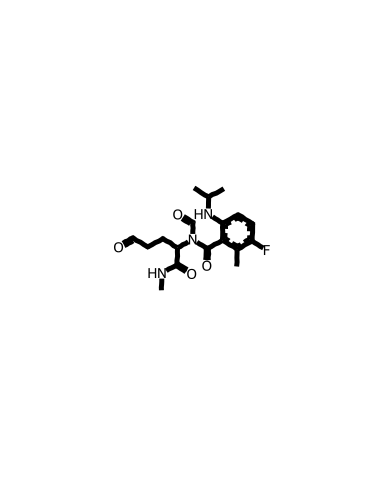 CNC(=O)C(CCC=O)N(C=O)C(=O)c1c(NC(C)C)ccc(F)c1C